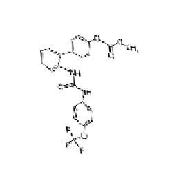 COC(=O)Oc1ccc(-c2ccccc2NC(=O)Nc2ccc(OC(F)(F)F)cc2)cc1